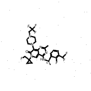 Cc1nc(N[C@H](C)c2cccc(C(F)F)c2F)c2cn(C3(CF)CC3)c(=O)c(N3CCN(CC(F)(F)F)CC3)c2n1